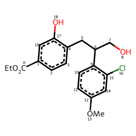 CCOC(=O)c1ccc(CC(CO)c2ccc(OC)cc2Cl)c(O)c1